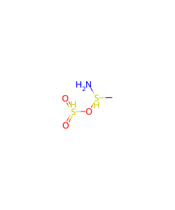 C[SH](N)O[SH](=O)=O